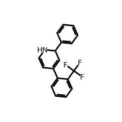 FC(F)(F)c1ccccc1C1=CC(c2ccccc2)NC=C1